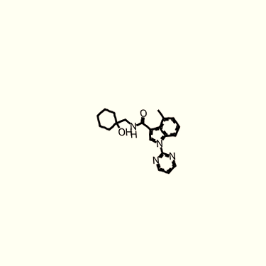 Cc1cccc2c1c(C(=O)NCC1(O)CCCCC1)cn2-c1ncccn1